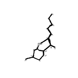 CCCCCC1OC2CC(C)CCC2C1C